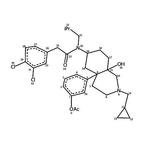 CC(=O)Oc1cccc(C23CCN(CC4CC4)CC2(O)CCC(N(CC(C)C)C(=O)Cc2ccc(Cl)c(Cl)c2)C3)c1